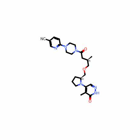 Cc1c(N2CCC[C@H]2COC[C@H](C)CC(=O)N2CCN(c3ccc(C#N)cn3)CC2)cn[nH]c1=O